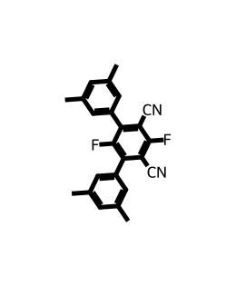 Cc1cc(C)cc(-c2c(F)c(-c3cc(C)cc(C)c3)c(C#N)c(F)c2C#N)c1